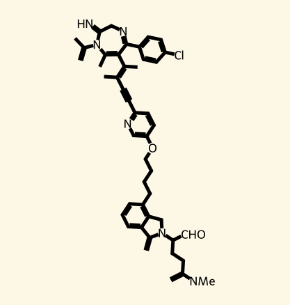 C=C(CCC(C=O)N1Cc2c(CCCCOc3ccc(C#C/C(C)=C(\C)C4=C(C)N(C(=C)C)C(=N)CN=C4c4ccc(Cl)cc4)nc3)cccc2C1=C)NC